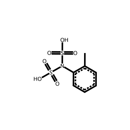 Cc1ccccc1N(S(=O)(=O)O)S(=O)(=O)O